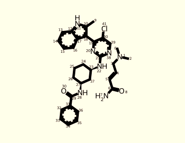 CN(C)C/C=C/C(N)=O.Cc1[nH]c2ccccc2c1-c1nc(N[C@@H]2CCC[C@H](NC(=O)c3ccccc3)C2)ncc1Cl